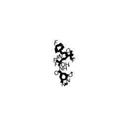 COc1cc(C(=O)NCC(O)(c2cc3c(c(-c4ccc(F)cc4)n2)OCC3(C)CF)C(F)(F)F)cc2cncnc12